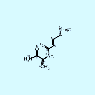 C=C(NC(=O)C=CCCCCCCCC)C(N)=O